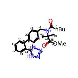 CCCCC(=O)N(Cc1ccc(-c2ccccc2-c2nnn[nH]2)cc1)C(C)(C)C(=O)OC